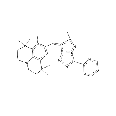 Cc1c(/C=c2/c(C)nn3c(-c4ccccn4)nnc23)cc2c3c1C(C)(C)CCN3CCC2(C)C